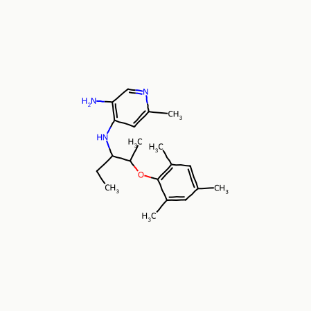 CCC(Nc1cc(C)ncc1N)C(C)Oc1c(C)cc(C)cc1C